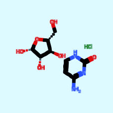 Cl.Nc1cc[nH]c(=O)n1.OC[C@H]1O[C@@H](O)[C@@H](O)[C@@H]1O